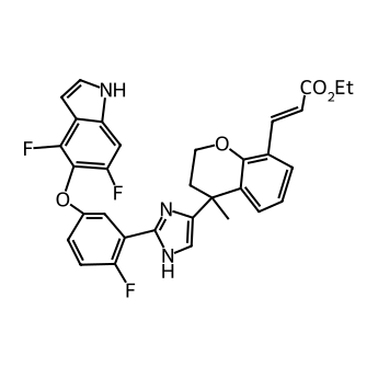 CCOC(=O)/C=C/c1cccc2c1OCCC2(C)c1c[nH]c(-c2cc(Oc3c(F)cc4[nH]ccc4c3F)ccc2F)n1